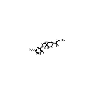 Cc1ncc(C(F)(F)F)nc1N1CCC2(CCN(C(=O)OC(C)(C)C)CC2)C1